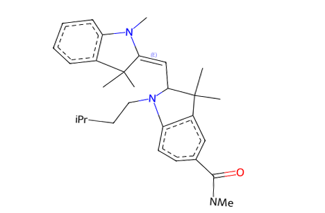 CNC(=O)c1ccc2c(c1)C(C)(C)C(/C=C1/N(C)c3ccccc3C1(C)C)N2CCC(C)C